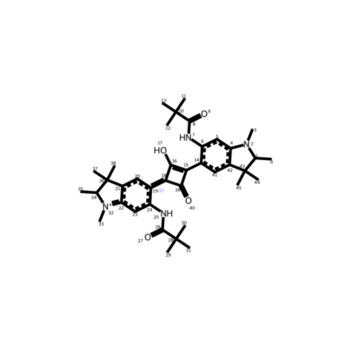 CC1N(C)c2cc(NC(=O)C(C)(C)C)c(C3=C(O)/C(=c4\cc5c(cc4NC(=O)C(C)(C)C)=[N+](C)C(C)C5(C)C)C3=O)cc2C1(C)C